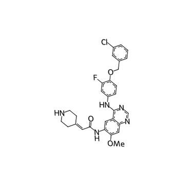 COc1cc2ncnc(Nc3ccc(OCc4cccc(Cl)c4)c(F)c3)c2cc1NC(=O)C=C1CCNCC1